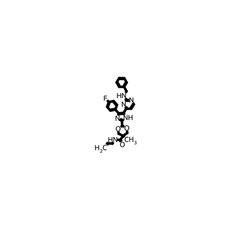 C=CCNC(=O)C1(C)COC(c2nc(-c3ccc(F)cc3)c(-c3ccnc(NCc4ccccc4)n3)[nH]2)OC1